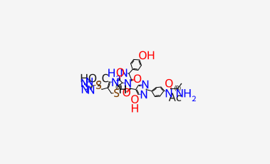 CC(=O)N(C(=O)[C@@H](C)N)c1ccc(-c2ncc(C(=O)N(C(=O)C(N)c3ccc(O)cc3)C3C(=O)N4C(C(=O)O)=C(CSc5nnnn5C)CS[C@@H]34)c(O)n2)cc1